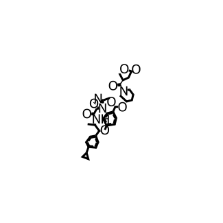 Cc1noc(C(=O)NC(C)C(Oc2ccc(C(=O)O[C@H]3CCCN(C(=O)[C@H]4COC(=O)C4)C3)cc2)c2ccc(C3CC3)cc2)n1